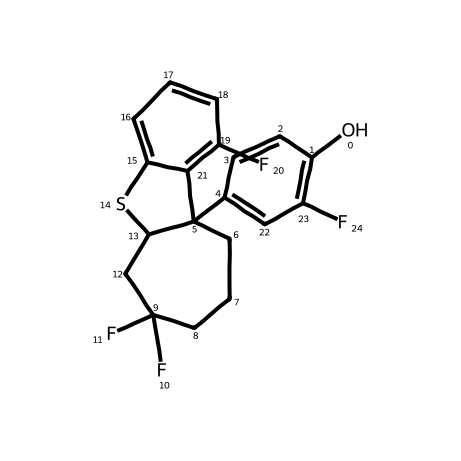 Oc1ccc(C23CCCC(F)(F)CC2Sc2cccc(F)c23)cc1F